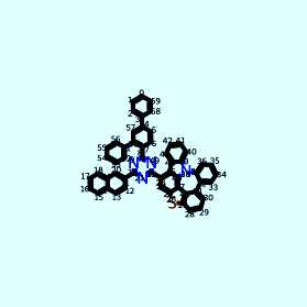 c1ccc(-c2ccc(-c3nc(-c4ccc5ccccc5c4)nc(-c4cc5sc6cccc7c8ccccc8n8c9ccccc9c4c8c5c67)n3)c(-c3ccccc3)c2)cc1